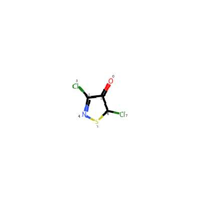 O=C1C(Cl)=NSC1Cl